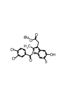 CCC(C)OC(=O)Cc1c(C)n(C(=O)c2ccc(Cl)c(Cl)c2)c2cc(F)c(O)cc12